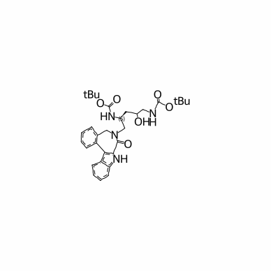 CC(C)(C)OC(=O)NCC(O)C[C@@H](CN1Cc2ccccc2-c2c([nH]c3ccccc23)C1=O)NC(=O)OC(C)(C)C